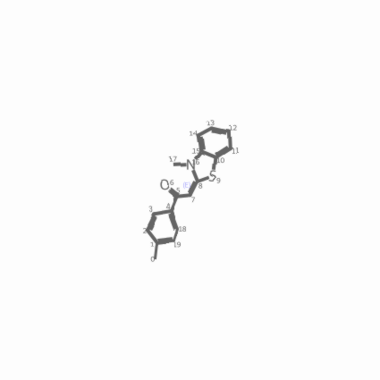 Cc1ccc(C(=O)/C=C2/Sc3ccccc3N2C)cc1